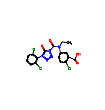 CCN(C(=O)n1nnn(-c2c(Cl)cccc2Cl)c1=O)c1ccc(Cl)c(C(=O)O)c1